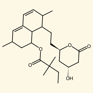 CCC(C)(C)C(=O)OC1CC(C)C=C2C=CC(C)C(CC[C@@H]3C[C@@H](O)CC(=O)O3)C21